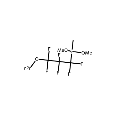 CCCOC(F)(F)C(F)(F)C(F)(F)[Si](C)(OC)OC